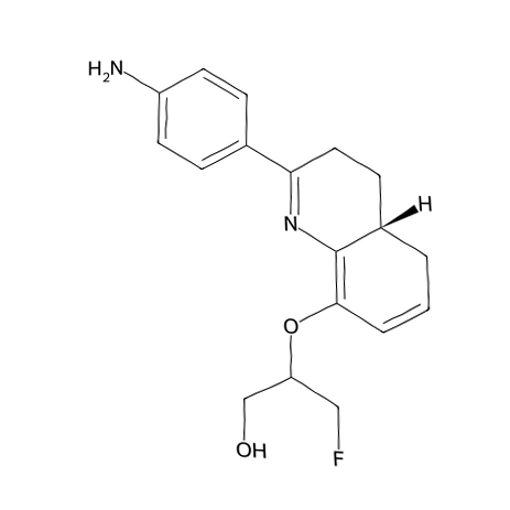 Nc1ccc(C2=NC3=C(OC(CO)CF)C=CC[C@H]3CC2)cc1